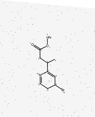 CCCOC(=O)CC(C)C1=CC(Br)CC=N1